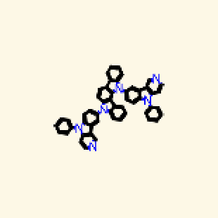 c1ccc(-n2c3ccncc3c3cc(-n4c5ccccc5c5c4ccc4c6ccccc6n(-c6ccc7c(c6)c6cnccc6n7-c6ccccc6)c45)ccc32)cc1